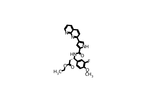 CCOC(=O)C[C@H](NC(=O)c1cc(-c2ccc3cccnc3n2)c[nH]1)c1ccc(OC)c(F)c1